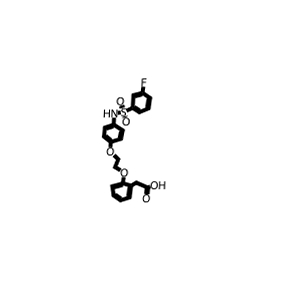 O=C(O)Cc1ccccc1OCCOc1ccc(NS(=O)(=O)c2cccc(F)c2)cc1